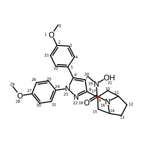 COc1ccc(-c2cc(C3CC4CCC(C3)N4C(=O)N(C)O)nn2-c2ccc(OC)cc2)cc1